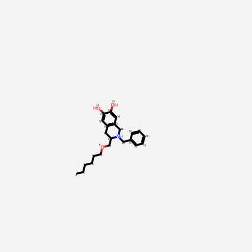 CCCCCCOCC1Cc2cc(O)c(O)cc2CN1Cc1ccccc1